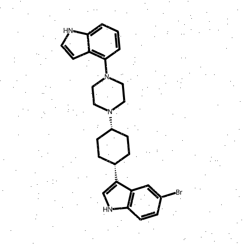 Brc1ccc2[nH]cc([C@H]3CC[C@@H](N4CCN(c5cccc6[nH]ccc56)CC4)CC3)c2c1